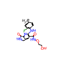 Bc1ccc(Nc2nc3c(cc2C(=O)NOCCO)CNC3=O)c(F)c1